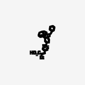 CCC(=Cc1cnc(-c2ccc(OCc3ccccc3)c(C34CC5CC(CC(C5)C3)C4)c2)nc1)C(=O)O